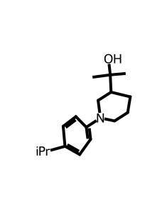 CC(C)c1ccc(N2CCCC(C(C)(C)O)C2)cc1